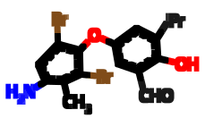 Cc1c(N)cc(Br)c(Oc2cc(C=O)c(O)c(C(C)C)c2)c1Br